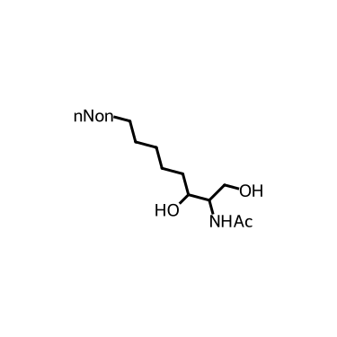 CCCCCCCCCCCCCCC(O)C(CO)NC(C)=O